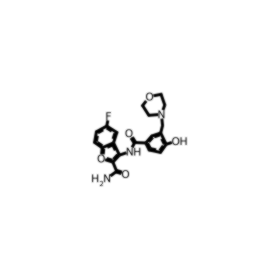 NC(=O)c1oc2ccc(F)cc2c1NC(=O)c1ccc(O)c(CN2CCOCC2)c1